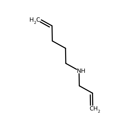 C=CCCCNCC=C